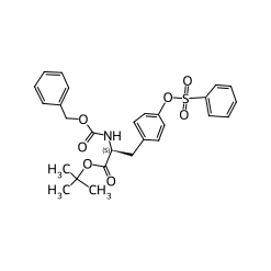 CC(C)(C)OC(=O)[C@H](Cc1ccc(OS(=O)(=O)c2ccccc2)cc1)NC(=O)OCc1ccccc1